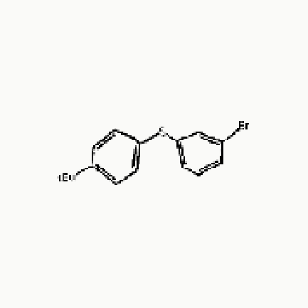 CC(C)(C)c1ccc(Sc2cccc(Br)c2)cc1